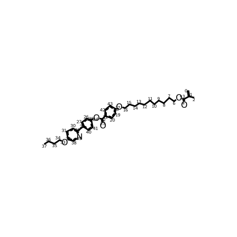 C=C(C)C(=O)OCCCCCCCCCCCOc1ccc(C(=O)Oc2ccc(-c3ccc(OCCCC)cn3)cc2)cc1